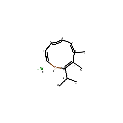 Br.Cc1cccccsc(C(C)C)c1C